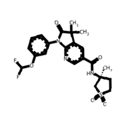 CC1(C)C(=O)N(c2cccc(OC(F)F)c2)c2ncc(C(=O)N[C@@]3(C)CCS(=O)(=O)C3)cc21